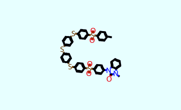 Cc1ccc(S(=O)(=O)c2ccc(Sc3ccc(Sc4ccc(Sc5ccc(S(=O)(=O)c6ccc(-n7c(=O)n(C)c8ccccc87)cc6)cc5)cc4)cc3)cc2)cc1